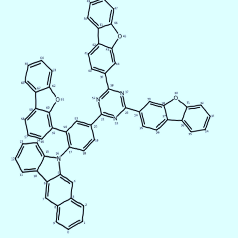 c1ccc2cc3c(cc2c1)c1ccccc1n3-c1ccc(-c2nc(-c3ccc4c(c3)oc3ccccc34)nc(-c3ccc4c(c3)oc3ccccc34)n2)cc1-c1cccc2c1oc1ccccc12